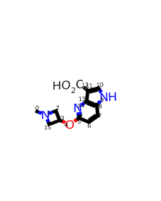 CN1CC(Oc2ccc3[nH]cc(C(=O)O)c3n2)C1